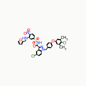 Cc1cc(Oc2ccc(Cn3nc(C(=O)NS(=O)(=O)c4ccc([N+](=O)[O-])c(NCc5ccco5)c4)c4cc(Cl)ccc43)cc2)cc(C)c1Cl